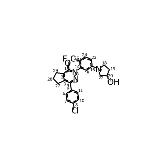 O=c1c2c(c(-c3ccc(Cl)cc3)nn1-c1cc(N3CCC(O)C3)ccc1C(F)(F)F)CCC2